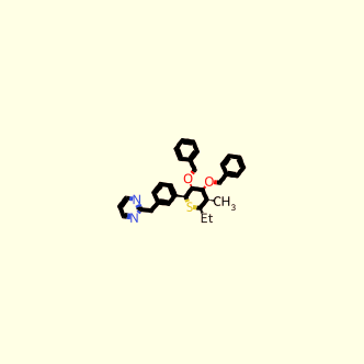 CC[C@H]1S[C@@H](c2cccc(Cc3ncccn3)c2)[C@H](OCc2ccccc2)[C@@H](OCc2ccccc2)[C@@H]1C